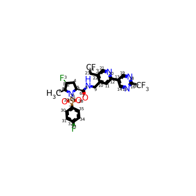 C[C@H]1[C@H](F)C[C@@H](C(=O)NCc2cc(-c3cnc(C(F)(F)F)nc3)ncc2CC(F)(F)F)N1S(=O)(=O)c1ccc(F)cc1